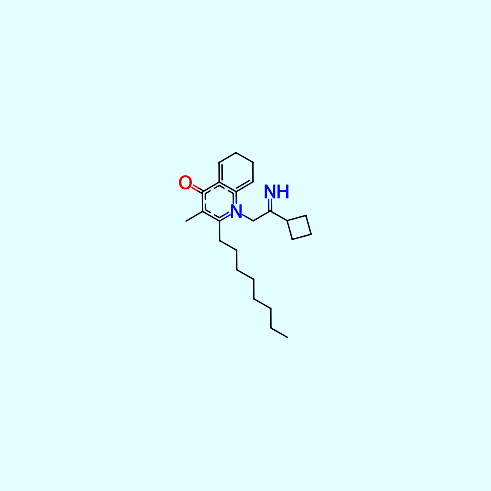 CCCCCCCCc1c(C)c(=O)c2c(n1CC(=N)C1CCC1)=CCCC=2